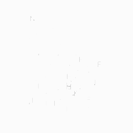 N=C1C=CC(=C(CC(O)(C(F)(F)F)C(F)(F)F)CC(O)(C(F)(F)F)C(F)(F)F)C=C1